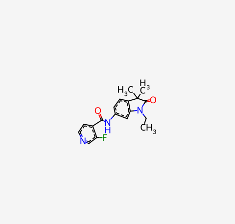 CCN1C(=O)C(C)(C)c2ccc(NC(=O)c3ccncc3F)cc21